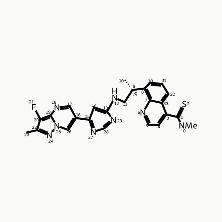 CNC(=S)c1ccnc2c([C@@H](C)CNc3cc(-c4cnc5c(F)c(C)nn5c4)ncn3)cccc12